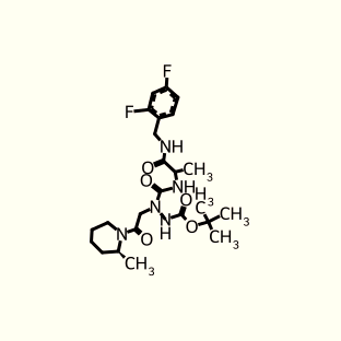 CC(NC(=O)N(CC(=O)N1CCCC[C@@H]1C)NC(=O)OC(C)(C)C)C(=O)NCc1ccc(F)cc1F